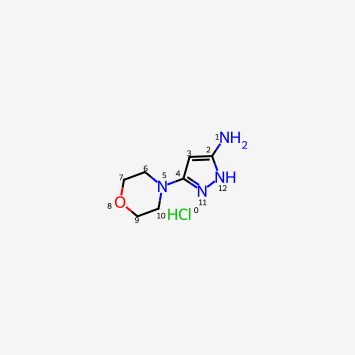 Cl.Nc1cc(N2CCOCC2)n[nH]1